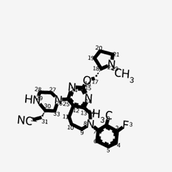 Cc1c(F)cccc1N1CCCc2c(nc(OC[C@@H]3CCCN3C)nc2N2CCN[C@@H](CC#N)C2)C1